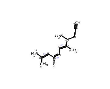 C#CCN(N)/C(C)=C/C=C(F)\C=C(/C)N